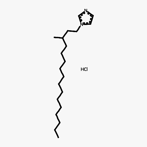 CCCCCCCCCCCCCC(C)CCn1ccnc1.Cl